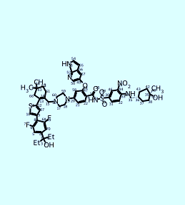 CCC(O)(CC)c1cc(F)c(-c2csc(C3=C(CN4CCN(c5ccc(C(=O)NS(=O)(=O)c6ccc(NC[C@H]7CC[C@](C)(O)CC7)c([N+](=O)[O-])c6)c(Oc6cnc7[nH]ccc7c6)c5)CC4)CCC(C)(C)C3)c2)c(F)c1